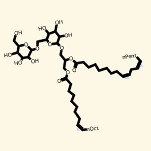 CCCCC/C=C\C/C=C\CCCCCCCC(=O)OC(COC(=O)CCCCCCC/C=C\CCCCCCCC)COC1OC(COC2OC(CO)C(O)C(O)C2O)C(O)C(O)C1O